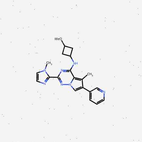 COC1CC(Nc2nc(-c3nccn3C)nn3cc(-c4cccnc4)c(C)c23)C1